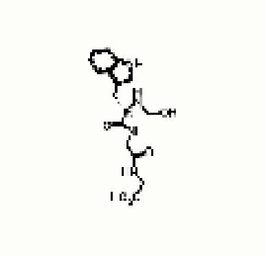 O=C(O)CNC(=O)CNC(=O)[C@H](Cc1c[nH]c2ccccc12)NCO